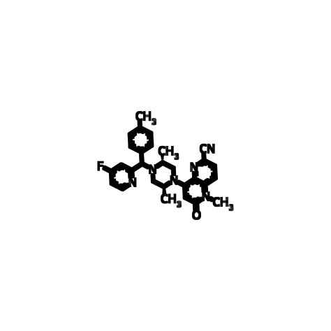 Cc1ccc(C(c2cc(F)ccn2)N2C[C@H](C)N(c3cc(=O)n(C)c4ccc(C#N)nc34)C[C@H]2C)cc1